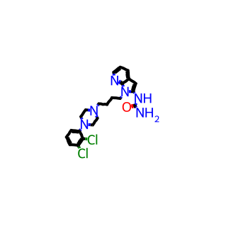 NC(=O)Nc1cc2cccnc2n1CCCCN1CCN(c2cccc(Cl)c2Cl)CC1